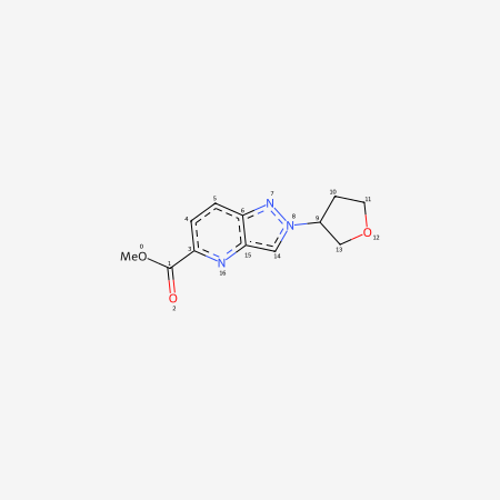 COC(=O)c1ccc2nn(C3CCOC3)cc2n1